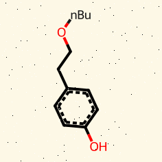 CCCCOCCc1ccc(O)cc1